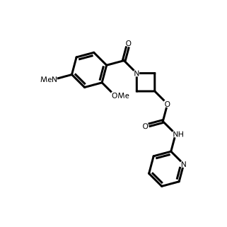 CNc1ccc(C(=O)N2CC(OC(=O)Nc3ccccn3)C2)c(OC)c1